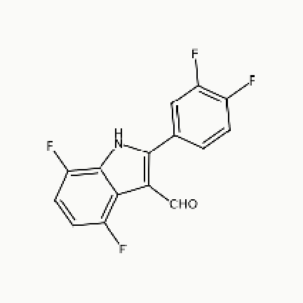 O=Cc1c(-c2ccc(F)c(F)c2)[nH]c2c(F)ccc(F)c12